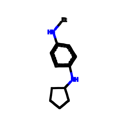 CCNc1ccc(NC2CCCC2)cc1